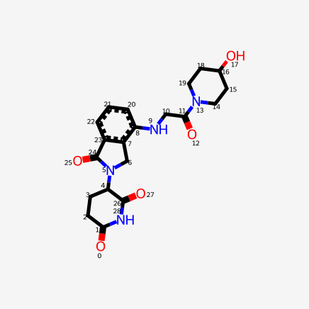 O=C1CCC(N2Cc3c(NCC(=O)N4CCC(O)CC4)cccc3C2=O)C(=O)N1